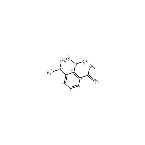 C=C([SiH3])c1cccc(N(C)C)c1N(C)C